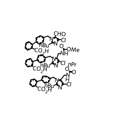 CCCCc1nc(Cl)c(C=O)n1Cc1ccc(-c2ccccc2C(=O)O)cc1.CCCCc1nc(Cl)c(CNC(=O)OC)n1Cc1ccc(-c2ccccc2C(=O)O)cc1.CCCCc1nc(Cl)c(CNC(=O)OCCC)n1Cc1ccc(-c2ccccc2C(=O)O)cc1